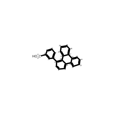 O=C(O)c1cccc(-c2cccc3c4ccccc4c4ccccc4c23)c1